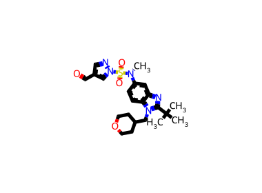 CN(c1ccc2c(c1)nc(C(C)(C)C)n2CC1CCOCC1)S(=O)(=O)n1cc(C=O)cn1